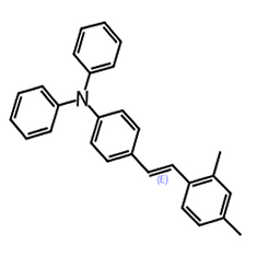 Cc1ccc(/C=C/c2ccc(N(c3ccccc3)c3ccccc3)cc2)c(C)c1